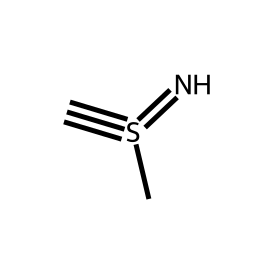 C#S(C)=N